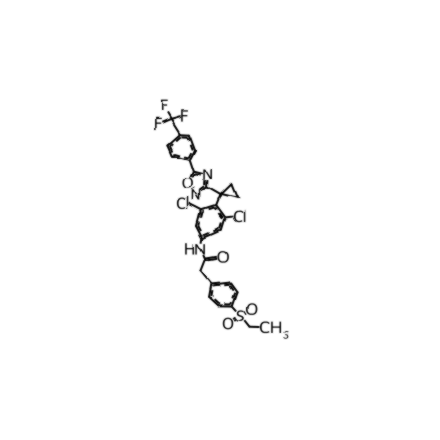 CCS(=O)(=O)c1ccc(CC(=O)Nc2cc(Cl)c(C3(c4noc(-c5ccc(C(F)(F)F)cc5)n4)CC3)c(Cl)c2)cc1